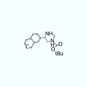 CC(C)(C)OC(=O)NCC(N)c1ccc2ccccc2c1